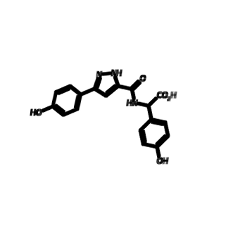 O=C(NC(C(=O)O)c1ccc(O)cc1)c1cc(-c2ccc(O)cc2)n[nH]1